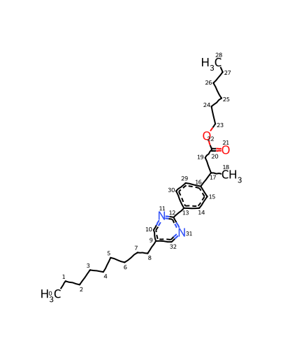 CCCCCCCCCc1cnc(-c2ccc(C(C)CC(=O)OCCCCCC)cc2)nc1